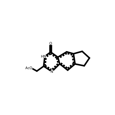 CC(=O)OCc1nc2cc3c(cc2c(=O)[nH]1)CCC3